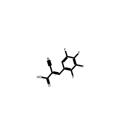 N#C/C(=C\c1cc(F)c(F)c(F)c1F)C(=O)O